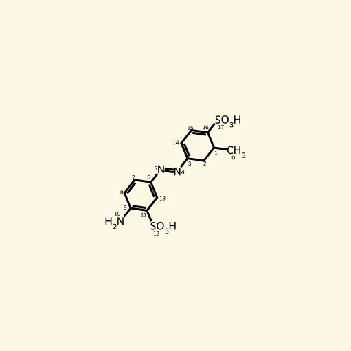 CC1CC(/N=N/c2ccc(N)c(S(=O)(=O)O)c2)=CC=C1S(=O)(=O)O